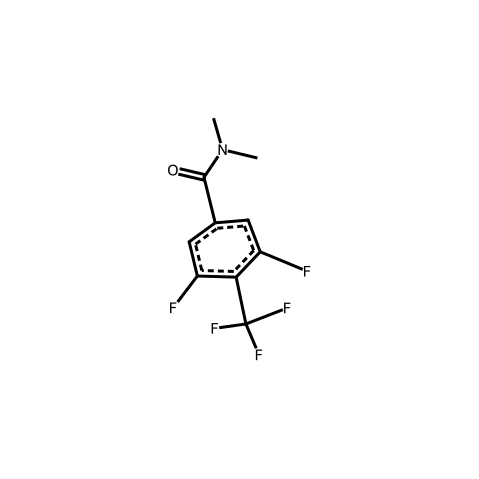 CN(C)C(=O)c1cc(F)c(C(F)(F)F)c(F)c1